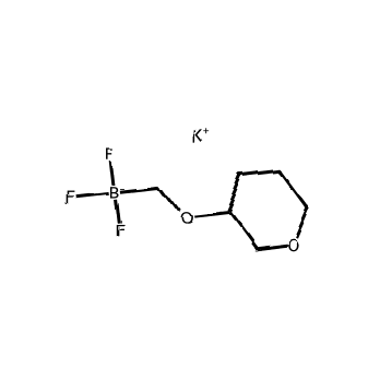 F[B-](F)(F)COC1CCCOC1.[K+]